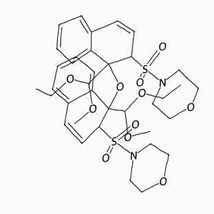 CCOC(OC)C1(OC2(C(OC)OCC)c3ccccc3C=CC2S(=O)(=O)N2CCOCC2)c2ccccc2C=CC1S(=O)(=O)N1CCOCC1